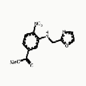 COC(=O)c1ccc([N+](=O)[O-])c(NCc2ncco2)c1